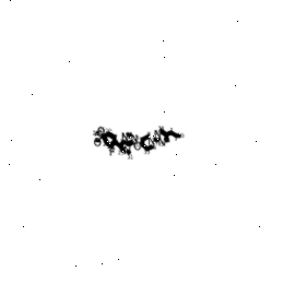 CCCc1cnc(N2CCC(Oc3ncnc4c(-c5ccc(S(C)(=O)=O)cc5F)cn(C)c34)CC2)nc1